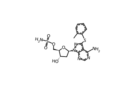 Cc1ccccc1Sc1nn([C@H]2C[C@H](O)[C@@H](COS(N)(=O)=O)O2)c2ncnc(N)c12